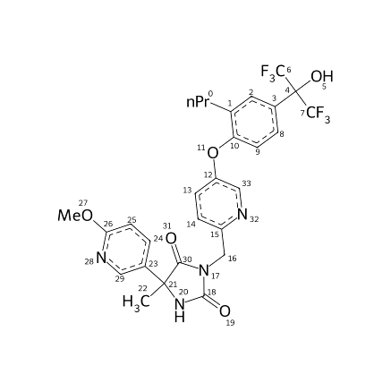 CCCc1cc(C(O)(C(F)(F)F)C(F)(F)F)ccc1Oc1ccc(CN2C(=O)NC(C)(c3ccc(OC)nc3)C2=O)nc1